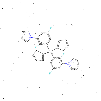 Fc1cc(-n2cccc2)c(F)[c]([Ti]([C]2=CC=CC2)([C]2=CC=CC2)[c]2cc(F)cc(-n3cccc3)c2F)c1